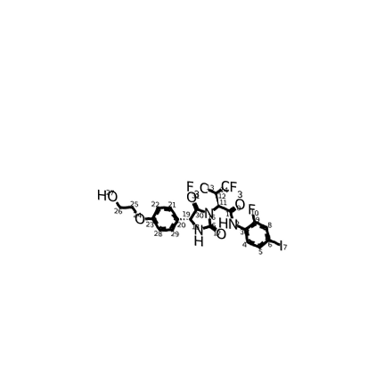 O=C(Nc1ccc(I)cc1F)[C@H](C(C(F)(F)F)C(F)(F)F)N1C(=O)N[C@H](c2ccc(OCCO)cc2)C1=O